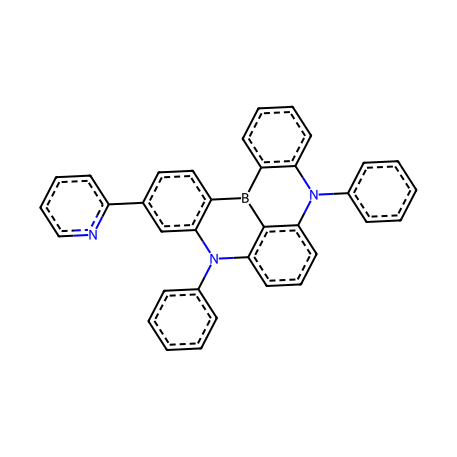 c1ccc(N2c3ccccc3B3c4ccc(-c5ccccn5)cc4N(c4ccccc4)c4cccc2c43)cc1